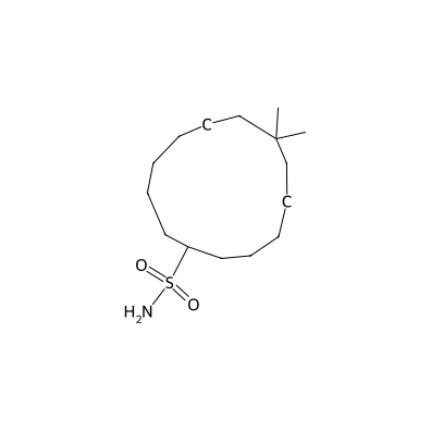 CC1(C)CCCCCCC(S(N)(=O)=O)CCCCC1